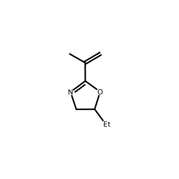 C=C(C)C1=NCC(CC)O1